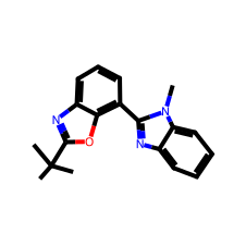 Cn1c(-c2cccc3nc(C(C)(C)C)oc23)nc2ccccc21